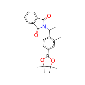 Cc1cc(B2OC(C)(C)C(C)(C)O2)ccc1C(C)N1C(=O)c2ccccc2C1=O